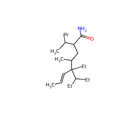 CC=CC(CC)(C(C)CC(C(N)=O)C(C)C(C)C)C(CC)CC